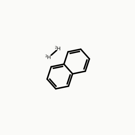 [2H][2H].c1ccc2ccccc2c1